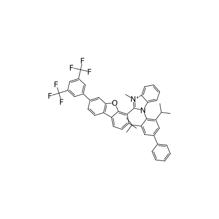 Cc1ccc2c(oc3cc(-c4cc(C(F)(F)F)cc(C(F)(F)F)c4)ccc32)c1-c1n(-c2c(C(C)C)cc(-c3ccccc3)cc2C(C)C)c2ccccc2[n+]1C